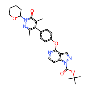 Cc1nn(C2CCCCO2)c(=O)c(C)c1-c1ccc(Oc2nccc3c2cnn3C(=O)OC(C)(C)C)cc1